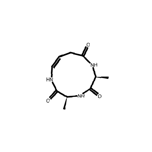 C[C@@H]1NC(=O)C/C=C\NC(=O)[C@H](C)NC1=O